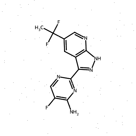 CC(F)(F)c1cnc2[nH]nc(-c3ncc(F)c(N)n3)c2c1